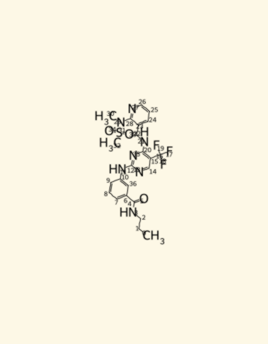 CCCNC(=O)c1cccc(Nc2ncc(C(F)(F)F)c(NCc3cccnc3N(C)S(C)(=O)=O)n2)c1